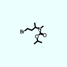 CC(C)OC(=O)N(C)C(C)CCBr